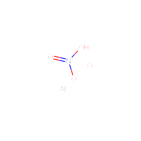 O=[N+]([O-])O.[Al+3].[O-2]